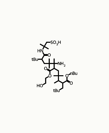 CCCCOC(=O)C(CC(C)(C)C)C(C)C(C)(C)CC(C(=O)OCCO)C(C)(N)C(C)(C)CC(C(=O)NC(C)(C)CS(=O)(=O)O)C(C)(C)C